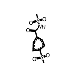 CS(=O)(=O)NC(=O)c1ccc(S(C)(=O)=O)cc1